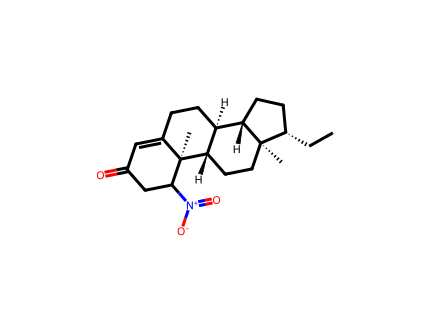 CC[C@H]1CC[C@H]2[C@@H]3CCC4=CC(=O)CC([N+](=O)[O-])[C@]4(C)[C@H]3CC[C@]12C